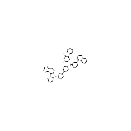 C1=CC2c3c(ccc4ccccc34)N(c3cccc(-c4ccc(N(c5cccc(-c6cccc7ccccc67)c5)c5ccc6oc7ccccc7c6c5)cc4)c3)C2C=C1